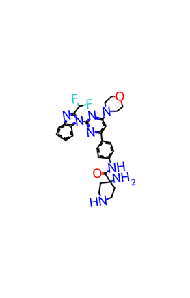 NC1(C(=O)Nc2ccc(-c3cc(N4CCOCC4)nc(-n4c(C(F)F)nc5ccccc54)n3)cc2)CCNCC1